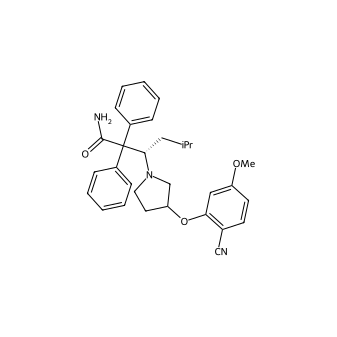 COc1ccc(C#N)c(OC2CCN([C@@H](CC(C)C)C(C(N)=O)(c3ccccc3)c3ccccc3)C2)c1